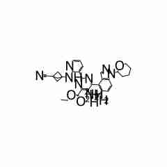 [2H]C([2H])([2H])c1ccc2c(cnn2C2CCCCO2)c1-c1nc(-c2cccnc2NC23CC(C#N)(C2)C3)nc(C(=O)OCC)c1N